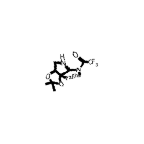 CCCCC12OC(C)(C)OC1CNC2N(C)C(=O)C(F)(F)F